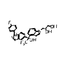 OCC(O)Cn1ccc2c(C(O)(c3ccc4c(cnn4-c4ccc(F)cc4)c3)C(F)(F)F)cccc21